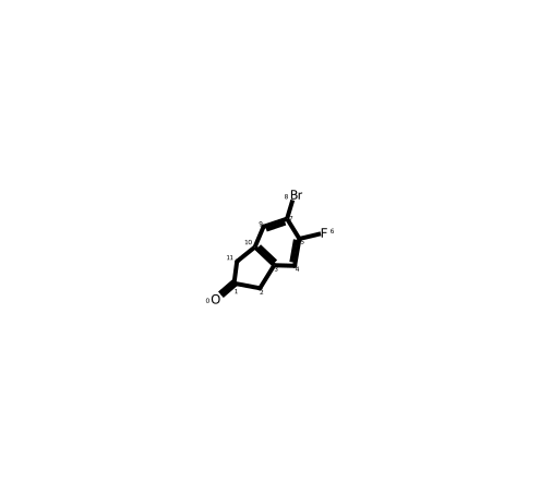 O=C1Cc2cc(F)c(Br)cc2C1